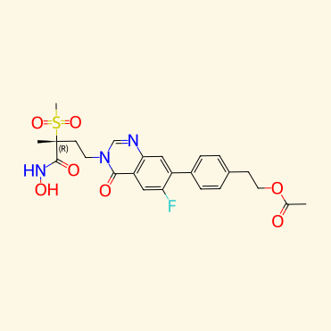 CC(=O)OCCc1ccc(-c2cc3ncn(CC[C@](C)(C(=O)NO)S(C)(=O)=O)c(=O)c3cc2F)cc1